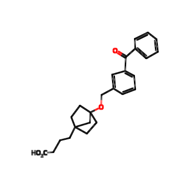 O=C(O)CCCC12CCC(OCc3cccc(C(=O)c4ccccc4)c3)(CC1)C2